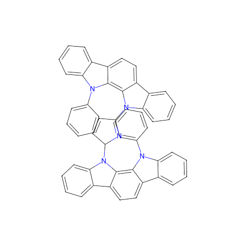 C1=CC(n2c3ccccc3c3ccc4c5ccccc5n(-c5ccccc5)c4c32)N=C1n1c2ccccc2c2ccc3c4ccccc4n(-c4ccccc4)c3c21